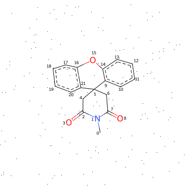 CN1C(=O)CC2(CC1=O)c1ccccc1Oc1ccccc12